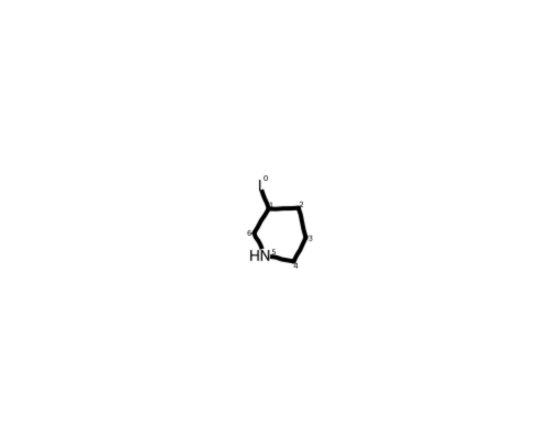 IC1CCCNC1